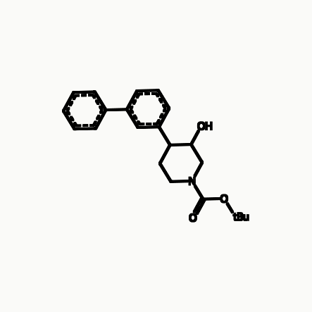 CC(C)(C)OC(=O)N1CCC(c2cccc(-c3ccccc3)c2)C(O)C1